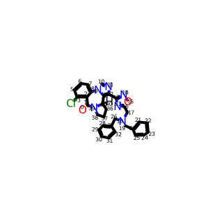 O=C1c2c(Cl)cccc2-n2cnc(-c3noc(CN(Cc4ccccc4)Cc4ccccc4)n3)c2[C@@H]2CCCN12